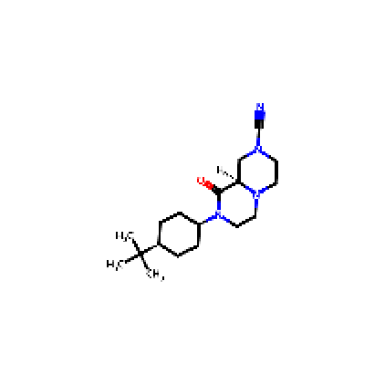 CC(C)(C)[C@H]1CC[C@@H](N2CCN3CCN(C#N)C[C@@H]3C2=O)CC1